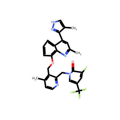 Cc1cc(-c2n[nH]cc2C)c2cccc(OCc3c(C)ccnc3Cn3cc(C(F)(F)F)cc(F)c3=O)c2n1